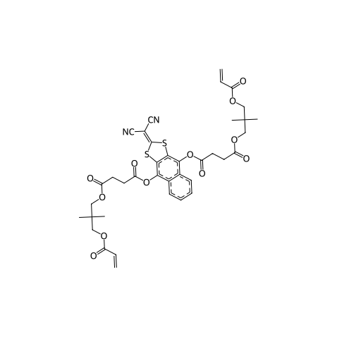 C=CC(=O)OCC(C)(C)COC(=O)CCC(=O)Oc1c2c(c(OC(=O)CCC(=O)OCC(C)(C)COC(=O)C=C)c3ccccc13)SC(=C(C#N)C#N)S2